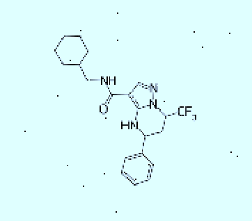 O=C(NCC1CCCCC1)c1cnn2c1NC(c1ccccc1)CC2C(F)(F)F